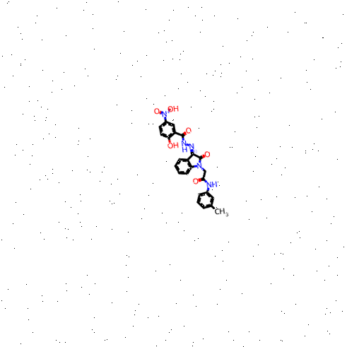 Cc1cccc(NC(=O)CN2C(=O)/C(=N/NC(=O)c3cc([N+](=O)O)ccc3O)c3ccccc32)c1